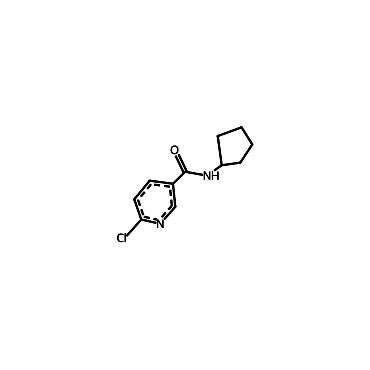 O=C(NC1CCCC1)c1ccc(Cl)nc1